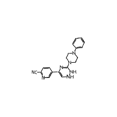 N#Cc1ccc(C2=CNNC(N3CCN(c4ccccc4)CC3)=N2)cn1